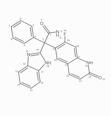 NC(=O)C(c1ccccc1)(c1nc2ccccc2[nH]1)c1cc2ccc(=O)[nH]c2cc1F